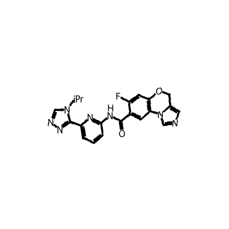 CC(C)n1cnnc1-c1cccc(NC(=O)c2cc3c(cc2F)OCc2cncn2-3)n1